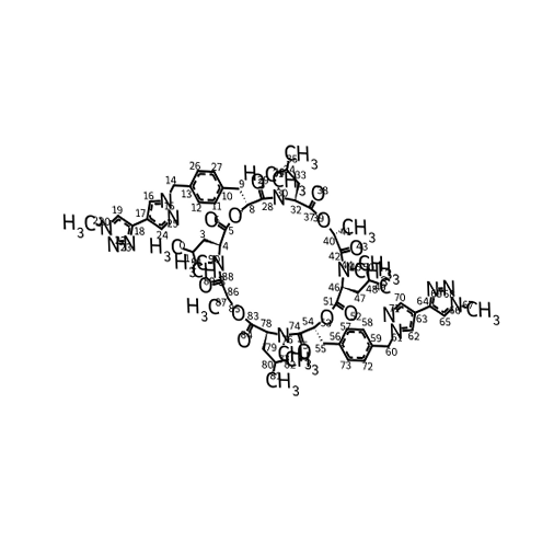 CC(C)C[C@H]1C(=O)O[C@H](Cc2ccc(Cn3cc(-c4cn(C)nn4)cn3)cc2)C(=O)N(C)[C@@H](CC(C)C)C(=O)O[C@H](C)C(=O)N(C)[C@@H](CC(C)C)C(=O)O[C@H](Cc2ccc(Cn3cc(-c4cn(C)nn4)cn3)cc2)C(=O)N(C)[C@@H](CC(C)C)C(=O)O[C@H](C)C(=O)N1C